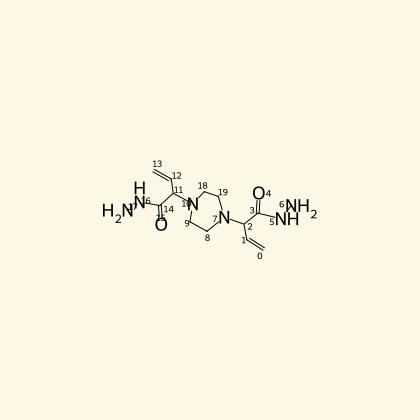 C=CC(C(=O)NN)N1CCN(C(C=C)C(=O)NN)CC1